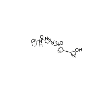 O=C(NCC12CC3CC(CC(C3)C1)C2)c1ccc(N2CCN(C(=O)c3cncc(C#Cc4cncc(O)c4)c3)CC2)nn1